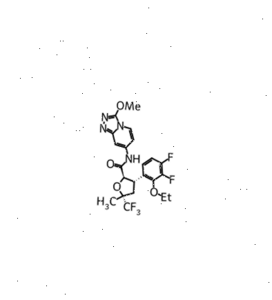 CCOc1c([C@@H]2C[C@](C)(C(F)(F)F)O[C@H]2C(=O)Nc2ccn3c(OC)nnc3c2)ccc(F)c1F